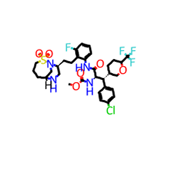 COC(=O)N[C@H](C(=O)Nc1cccc(F)c1CC[C@H]1CN[C@@H]2CCCS(=O)(=O)N1C2)[C@@H](c1ccc(Cl)cc1)C1CCC(C(F)(F)F)OC1